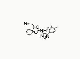 Cc1ccc(-c2nnn(C)c2NC(=O)O[C@H](CC#N)c2ccccc2)nc1C